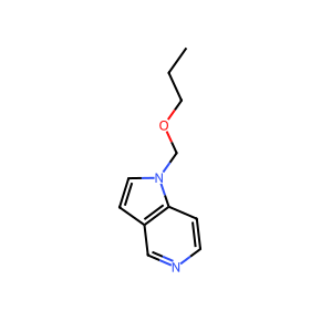 CCCOCn1ccc2cnccc21